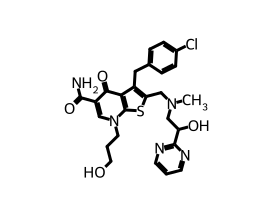 CN(Cc1sc2c(c1Cc1ccc(Cl)cc1)c(=O)c(C(N)=O)cn2CCCO)CC(O)c1ncccn1